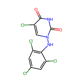 O=c1[nH]c(=O)n(Nc2c(Cl)cc(Cl)cc2Cl)cc1Cl